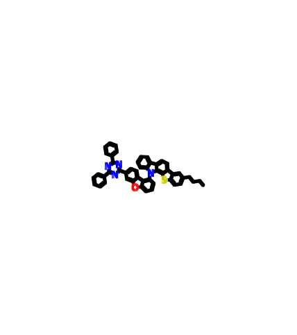 CCCCc1ccc2sc3c(ccc4c5ccccc5n(-c5cccc6oc7cc(-c8nc(-c9ccccc9)nc(-c9ccccc9)n8)ccc7c56)c43)c2c1